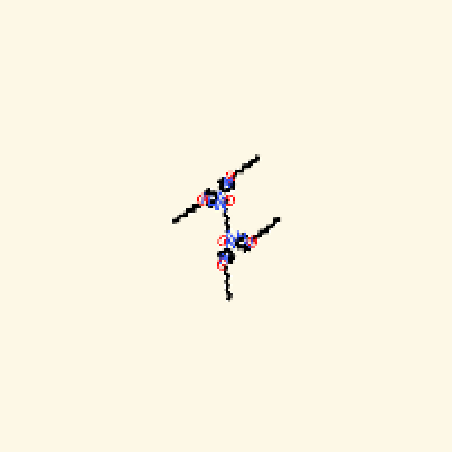 CCCCCCCCON1C(C)(C)CC(N(C(=O)NCCCCCCNC(=O)N(C2CC(C)(C)N(OCCCCCCCC)C(C)(C)C2)C2CC(C)(C)N(OCCCCCCCC)C(C)(C)C2)C2CC(C)(C)N(OCCCCCCCC)C(C)(C)C2)CC1(C)C